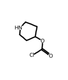 O=C(Cl)OC1CCNCC1